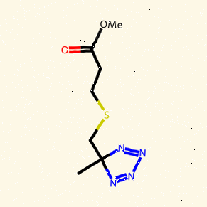 COC(=O)CCSCC1(C)N=NN=N1